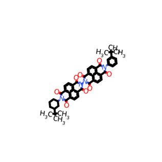 CC(C)(C)c1cccc(N2C(=O)c3ccc4c5c(ccc(c35)C2=O)C(=O)N(N2C(=O)c3ccc5c6c(ccc(c36)C2=O)C(=O)N(C2CCCC(C(C)(C)C)C2)C5=O)C4=O)c1